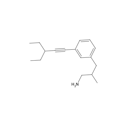 CCC(C#Cc1cccc(CC(C)CN)c1)CC